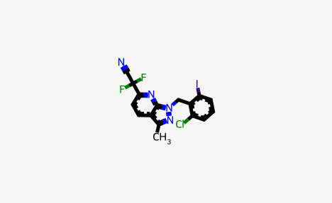 Cc1nn(Cc2c(Cl)cccc2I)c2nc(C(F)(F)C#N)ccc12